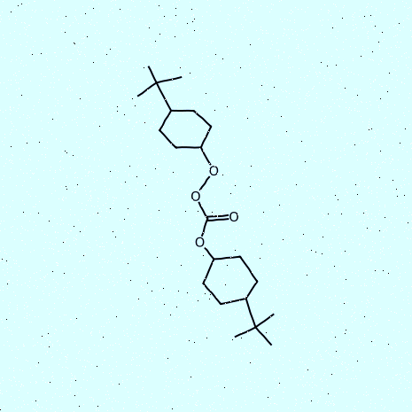 CC(C)(C)C1CCC(OOC(=O)OC2CCC(C(C)(C)C)CC2)CC1